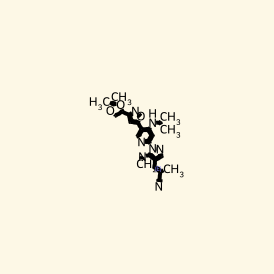 C=Nc1c(/C=C(\C)C#N)cnn1-c1cc(NC(C)C)c(-c2cc(C3COC(C)(C)O3)no2)cn1